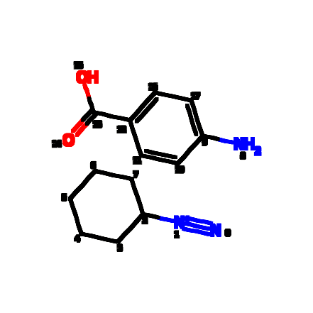 N#[N+]C1CCCCC1.Nc1ccc(C(=O)O)cc1